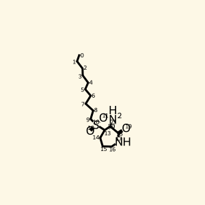 CCCCCCCCCCS(=O)(=O)C1CCCNC(=O)[C@@H]1N